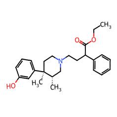 CCOC(=O)C(CCN1CC[C@](C)(c2cccc(O)c2)[C@@H](C)C1)c1ccccc1